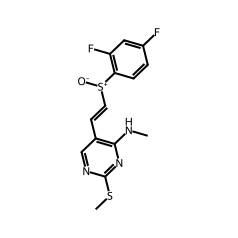 CNc1nc(SC)ncc1/C=C/[S+]([O-])c1ccc(F)cc1F